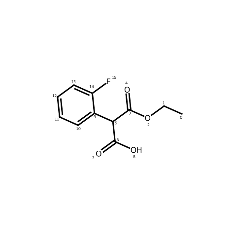 CCOC(=O)C(C(=O)O)c1ccccc1F